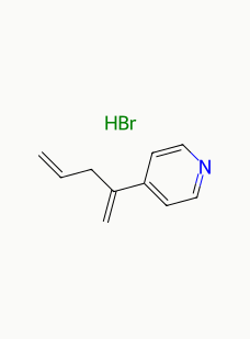 Br.C=CCC(=C)c1ccncc1